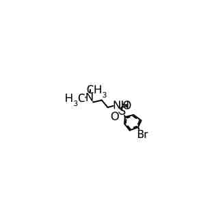 CN(C)CCCNS(=O)(=O)c1ccc(Br)cc1